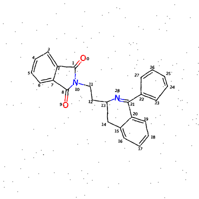 O=C1c2ccccc2C(=O)N1CCC1Cc2ccccc2C(c2ccccc2)=N1